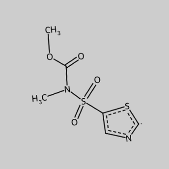 COC(=O)N(C)S(=O)(=O)c1cn[c]s1